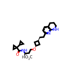 O=C(O)[C@H](CCO[C@H]1C[C@H](CCc2ccc3c(n2)NCCC3)C1)NC(=O)C1(C2CC2)CC1